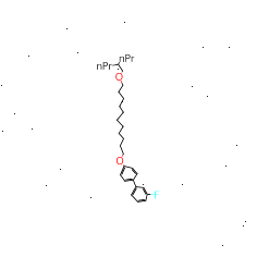 CCCC(CCC)COCCCCCCCCCCCOc1ccc(-c2cccc(F)c2)cc1